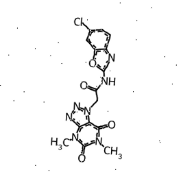 Cn1c(=O)c2c(nnn2CC(=O)Nc2nc3ccc(Cl)cc3o2)n(C)c1=O